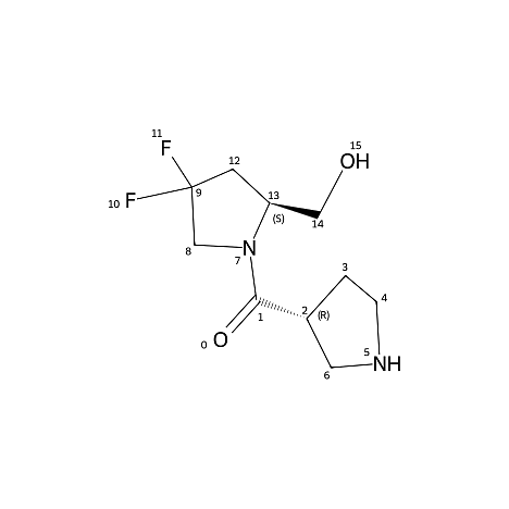 O=C([C@@H]1CCNC1)N1CC(F)(F)C[C@H]1CO